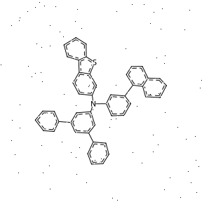 c1ccc(-c2cc(-c3ccccc3)cc(N(c3cccc(-c4cccc5ccccc45)c3)c3ccc4c(c3)sc3ccccc34)c2)cc1